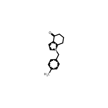 Cc1ccc(Cn2ccc3c2CCCC3=O)cc1